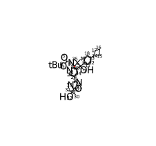 CC(C)(C)OC(=O)N1CC(C)(C(O)(c2ccc(C3CCC3)cc2)c2cncc(-c3noc(C(C)(C)O)n3)c2)C1